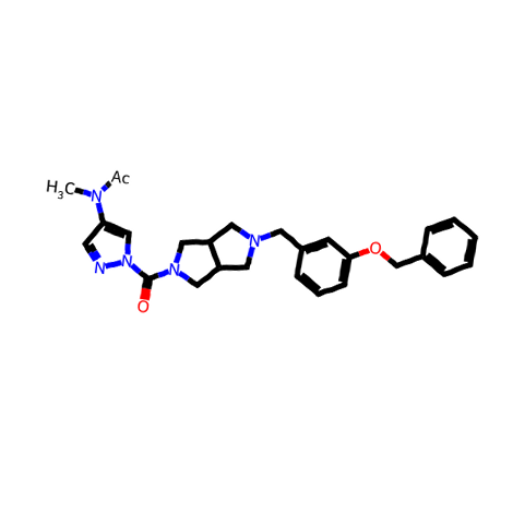 CC(=O)N(C)c1cnn(C(=O)N2CC3CN(Cc4cccc(OCc5ccccc5)c4)CC3C2)c1